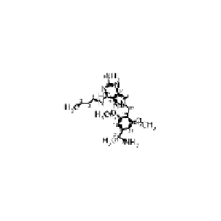 CCCCNc1nc(N)nc2cn(Cc3c(OC)cc(C(C)N)cc3OC)nc12